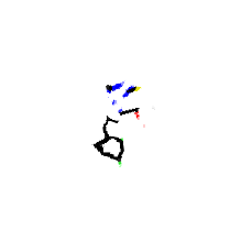 CC(Cc1ccc(Cl)cc1Cl)C[C@H]([C@H](O)C(C)(C)C)n1nc[nH]c1=S